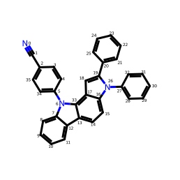 N#Cc1ccc(-n2c3ccccc3c3ccc4c(cc(-c5ccccc5)n4-c4ccccc4)c32)cc1